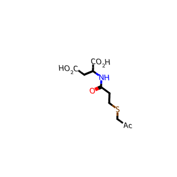 CC(=O)CSCCC(=O)NC(CC(=O)O)C(=O)O